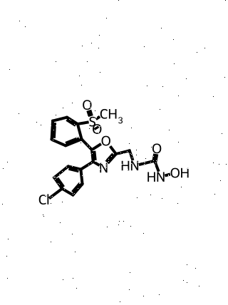 CS(=O)(=O)c1ccccc1-c1oc(CNC(=O)NO)nc1-c1ccc(Cl)cc1